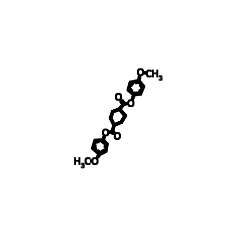 COc1ccc(OC(=O)C2CCC(C(=O)Oc3ccc(OC)cc3)CC2)cc1